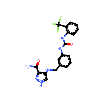 NC(=O)c1n[nH]cc1NCc1cccc(NC(=O)Nc2ccccc2C(F)(F)F)c1